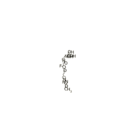 CCOc1cnc(N2CCC(CCCOc3ccc(CC(=O)N4CC[C@@H](CNCC(O)(CO)CO)C4)c(F)c3)CC2)nc1